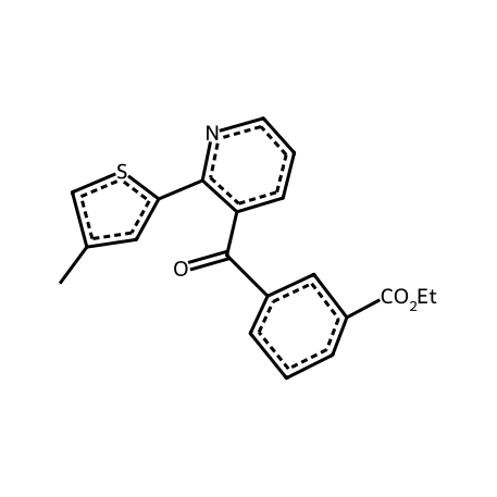 CCOC(=O)c1cccc(C(=O)c2cccnc2-c2cc(C)cs2)c1